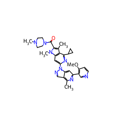 COc1ccncc1-c1cc2c(cnn2-c2cc3c(c(C4CC4)n2)c(C)c(C(=O)N2CCN(C)CC2)n3C)c(C)n1